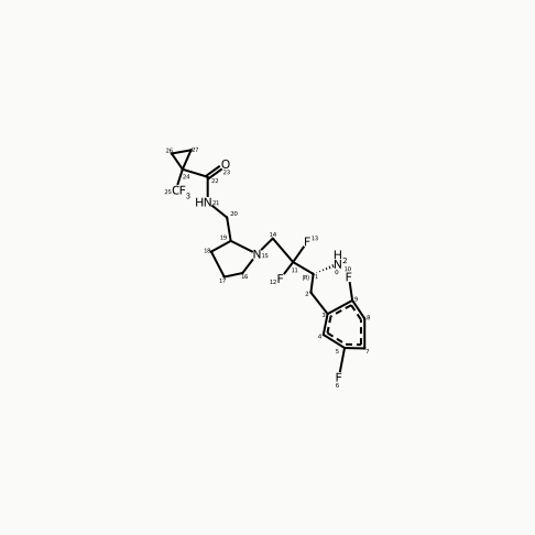 N[C@H](Cc1cc(F)ccc1F)C(F)(F)CN1CCCC1CNC(=O)C1(C(F)(F)F)CC1